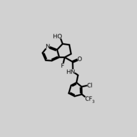 O=C(NCc1cccc(C(F)(F)F)c1Cl)C1(F)CCC(O)c2ncccc21